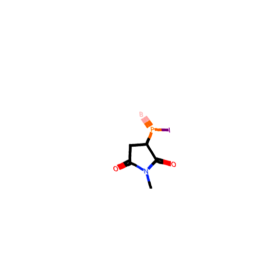 B#P(I)C1CC(=O)N(C)C1=O